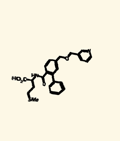 CSCC[C@H](NC(=O)c1ccc(COCc2cccnc2)cc1-c1ccccc1)C(=O)O